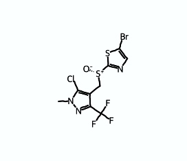 Cn1nc(C(F)(F)F)c(C[S@+]([O-])c2ncc(Br)s2)c1Cl